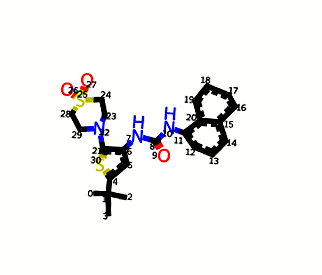 CC(C)(C)c1cc(NC(=O)Nc2cccc3ccccc23)c(N2CCS(=O)(=O)CC2)s1